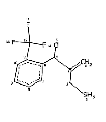 C=C(C[SiH3])C(Cl)c1ccccc1C(F)(F)F